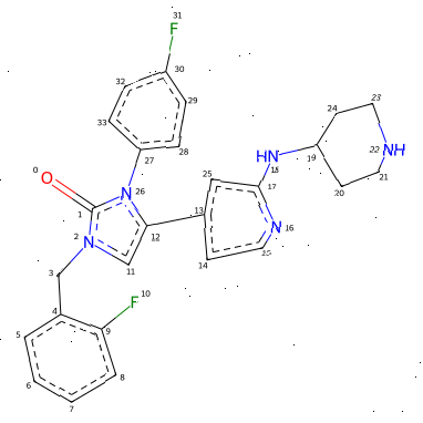 O=c1n(Cc2ccccc2F)cc(-c2ccnc(NC3CCNCC3)c2)n1-c1ccc(F)cc1